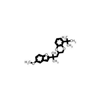 COc1ccc2oc(C(C)(C)CC3COc4c(cccc4C(C)(C)C)O3)cc2c1